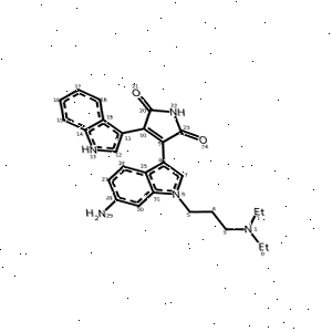 CCN(CC)CCCn1cc(C2=C(c3c[nH]c4ccccc34)C(=O)NC2=O)c2ccc(N)cc21